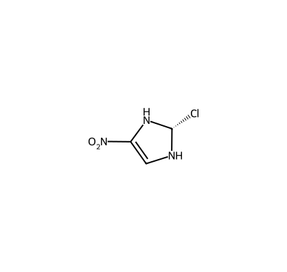 O=[N+]([O-])C1=CN[C@@H](Cl)N1